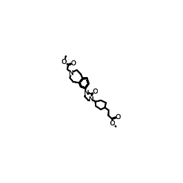 COC(=O)CCC1CCC(N2CCN(c3ccc4c(c3)CCN(CC(=O)OC)CC4)C2=O)CC1